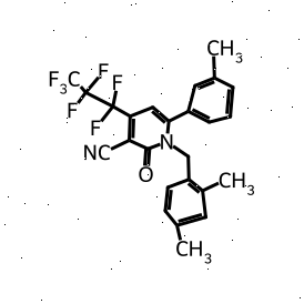 Cc1cccc(-c2cc(C(F)(F)C(F)(F)C(F)(F)F)c(C#N)c(=O)n2Cc2ccc(C)cc2C)c1